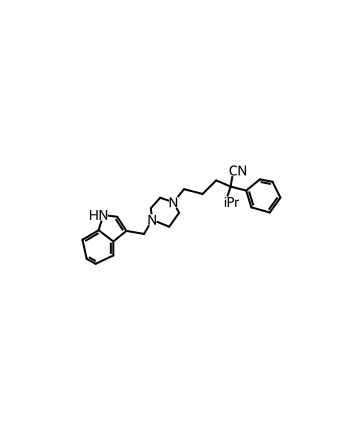 CC(C)C(C#N)(CCCN1CCN(Cc2c[nH]c3ccccc23)CC1)c1ccccc1